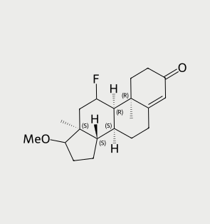 COC1CC[C@H]2[C@@H]3CCC4=CC(=O)CC[C@]4(C)[C@@H]3C(F)C[C@]12C